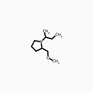 CCC(C)N1CCCC1COC